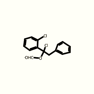 O=[C]OC(Cl)(Cc1ccccc1)c1ccccc1Cl